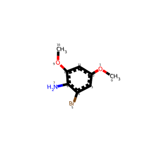 COc1cc(Br)c(N)c(OC)c1